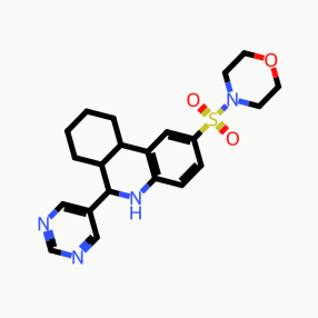 O=S(=O)(c1ccc2c(c1)C1CCCCC1C(c1cncnc1)N2)N1CCOCC1